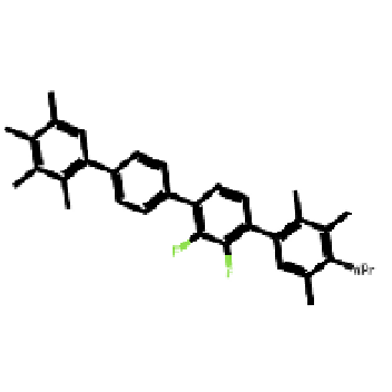 CCCc1c(C)cc(-c2ccc(-c3ccc(-c4cc(C)c(C)c(C)c4C)cc3)c(F)c2F)c(C)c1C